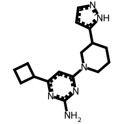 Nc1nc(C2CCC2)cc(N2CCCC(c3ccn[nH]3)C2)n1